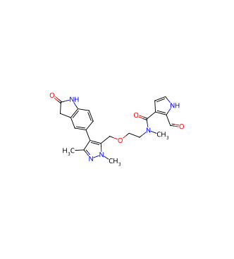 Cc1nn(C)c(COCCN(C)C(=O)c2cc[nH]c2C=O)c1-c1ccc2c(c1)CC(=O)N2